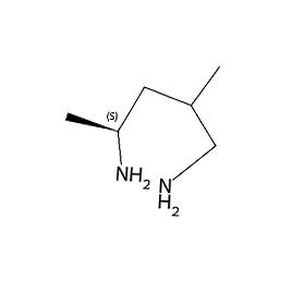 CC(CN)C[C@H](C)N